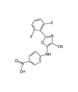 N#Cc1nc(-c2c(F)cccc2F)oc1Nc1ccc([N+](=O)O)cc1